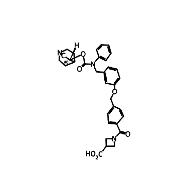 O=C(O)C1CN(C(=O)c2ccc(COc3cccc(CN(C(=O)O[C@H]4CN5CCC4CC5)c4ccccc4)c3)cc2)C1